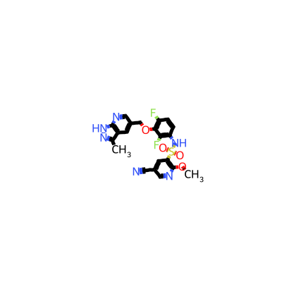 COc1ncc(C#N)cc1S(=O)(=O)Nc1ccc(F)c(OCc2cnc3[nH]nc(C)c3c2)c1F